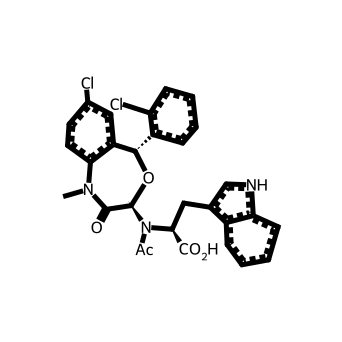 CC(=O)N([C@@H]1O[C@@H](c2ccccc2Cl)c2cc(Cl)ccc2N(C)C1=O)[C@@H](Cc1c[nH]c2ccccc12)C(=O)O